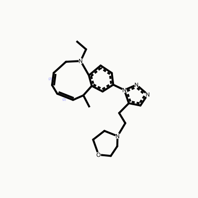 CCN1C/C=C\C=C/C(C)c2cc(-n3nncc3CCN3CCOCC3)ccc21